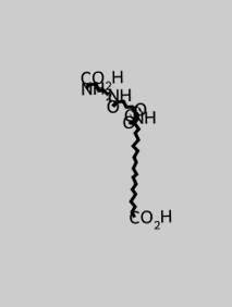 N[C@@H](CCCCNC(=O)CCCS(=O)(=O)NC(=O)CCCCCCCCCCCCCCCCC(=O)O)C(=O)O